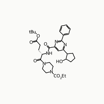 CCOC(=O)N1CCN(C(=O)[C@H](CCC(=O)OC(C)(C)C)NC(=O)c2cc(C3CCCC3O)nc(-c3ccccc3)n2)CC1